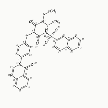 CCN(CC)C(=O)C(Cc1ccc(-n2cnc3ccccc3c2=O)cc1)C(=O)NS(=O)(=O)c1ccc2ccccc2c1